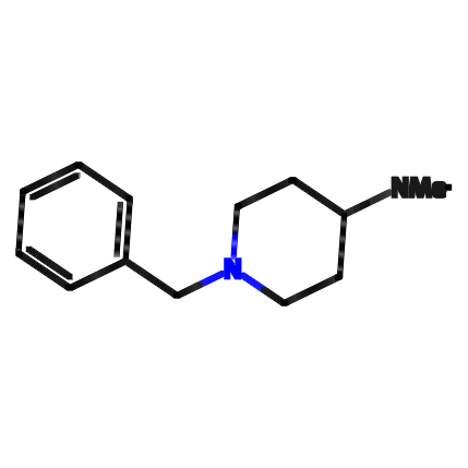 C[N]C1CCN(Cc2ccccc2)CC1